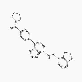 O=C(c1ccc(-c2cnc(NCc3cccc4c3CCO4)n3cnnc23)cn1)N1CCCC1